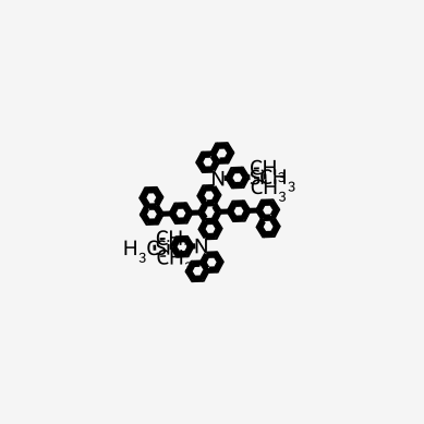 C[Si](C)(C)c1ccc(N(c2ccc3c(-c4ccc(-c5cccc6ccccc56)cc4)c4cc(N(c5ccc([Si](C)(C)C)cc5)c5cccc6ccccc56)ccc4c(-c4ccc(-c5cccc6ccccc56)cc4)c3c2)c2cccc3ccccc23)cc1